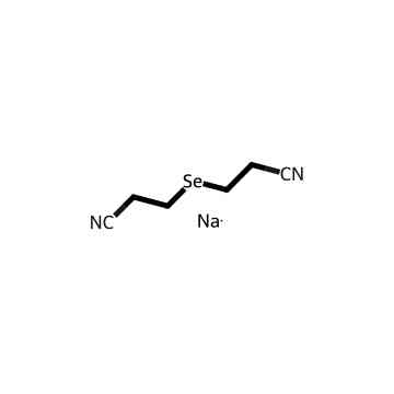 N#CCC[Se]CCC#N.[Na]